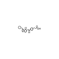 O=C(O)CCc1ccc(NCc2ccc3ccn(CC4CCCCC4)c3c2Cl)cc1